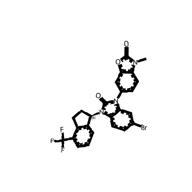 Cn1c(=O)oc2cc(-n3c(=O)n([C@@H]4CCc5c4cccc5C(F)(F)F)c4ccc(Br)cc43)ccc21